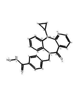 O=C(NO)c1ccc(CN2C(=O)c3cccnc3N(C3CC3)c3ccccc32)cc1